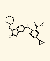 COC(=O)c1cc(C2CC2)cnc1Nc1ccc2c(c1)sc(=O)n2CC1CCCCC1